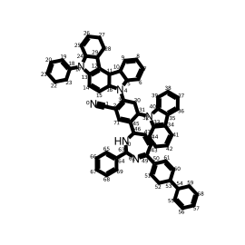 N#CC1=C(N2C3C=CC=CC3C3C4=C(C=CC32)N(C2=CC=CCC2)C2C=CCCC42)CC(n2c3c(c4ccccc42)C=CCC3)C(C2C=CC(C3=CCC(C4C=CC=CC4)C=C3)=NC(c3ccccc3)N2)=C1